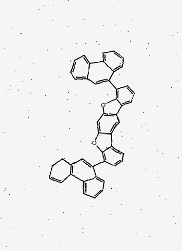 C1=Cc2c(cc(-c3cccc4c3oc3cc5oc6c(-c7cc8ccccc8c8ccccc78)cccc6c5cc34)c3ccccc23)CC1